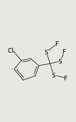 FSC(SF)(SF)c1cc[c]c(Cl)c1